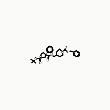 CC(C)(C)OC(=O)N1CC[C@](C(=O)NCC2CCN(C(=O)OCc3ccccc3)CC2)(c2ccccc2)C1